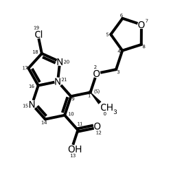 C[C@H](OCC1CCOC1)c1c(C(=O)O)cnc2cc(Cl)nn12